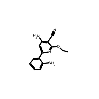 CCOc1nc(-c2ccccc2N)cc(N)c1C#N